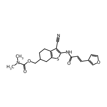 CN(C)C(=O)OCC1CCc2c(sc(NC(=O)C=Cc3ccoc3)c2C#N)C1